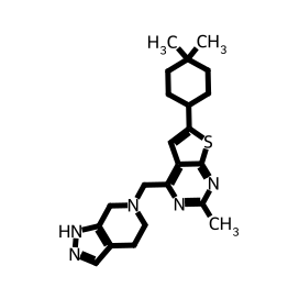 Cc1nc(CN2CCc3cn[nH]c3C2)c2cc(C3CCC(C)(C)CC3)sc2n1